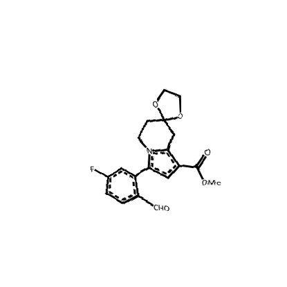 COC(=O)c1cc(-c2cc(F)ccc2C=O)n2c1CC1(CC2)OCCO1